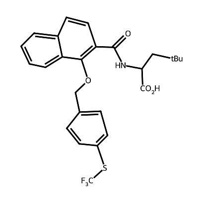 CC(C)(C)CC(NC(=O)c1ccc2ccccc2c1OCc1ccc(SC(F)(F)F)cc1)C(=O)O